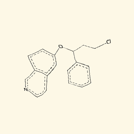 ClCCC(Oc1ccc2cnccc2c1)c1ccccc1